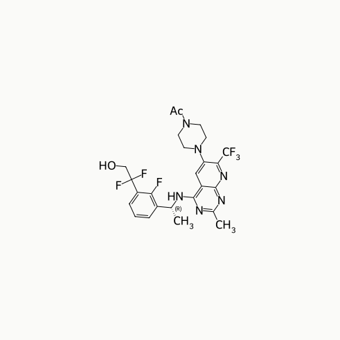 CC(=O)N1CCN(c2cc3c(N[C@H](C)c4cccc(C(F)(F)CO)c4F)nc(C)nc3nc2C(F)(F)F)CC1